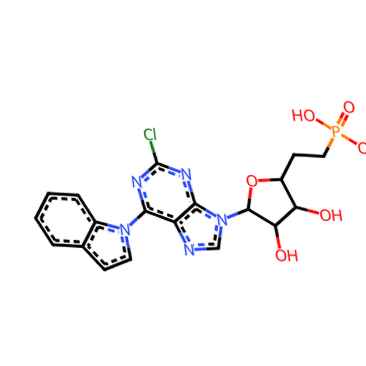 O=P(O)(O)CCC1OC(n2cnc3c(-n4ccc5ccccc54)nc(Cl)nc32)C(O)C1O